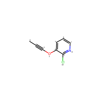 CC#COc1cccnc1Cl